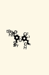 C=C(O)Cc1cc(Oc2ccc(NC(=O)C(C)(C)C)cc2CSC(C)C)cc(C(F)(F)F)c1